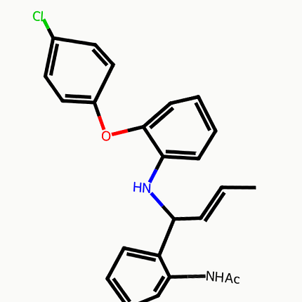 C/C=C/C(Nc1ccccc1Oc1ccc(Cl)cc1)c1ccccc1NC(C)=O